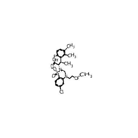 COCCN1CN([C@H](C(=O)O)[C@H](C)c2c(F)ccc(C)c2C)S(=O)(=O)c2ccc(Cl)cc21